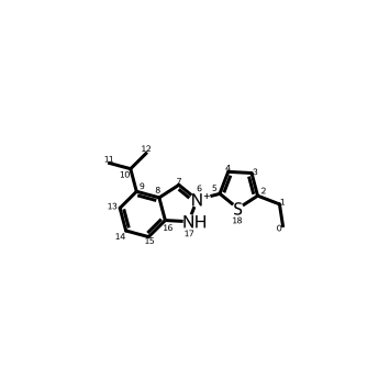 CCc1ccc(-[n+]2cc3c(C(C)C)cccc3[nH]2)s1